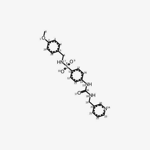 COc1ccc(CNS(=O)(=O)c2ccc(NC(=O)NCc3cccnc3)cc2)cc1